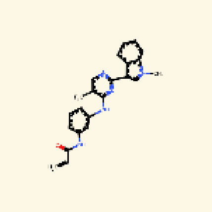 C=CC(=O)Nc1cccc(Nc2nc(-c3cn(C)c4ccccc34)ncc2C(F)(F)F)c1